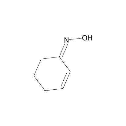 O/N=C1\C=CCCC1